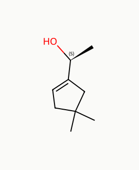 C[C@H](O)C1=CCC(C)(C)C1